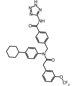 O=C(Nc1nn[nH]n1)c1ccc(CN(C(=O)Cc2cccc(OC(F)(F)F)c2)c2ccc(C3CCCCC3)cc2)cc1